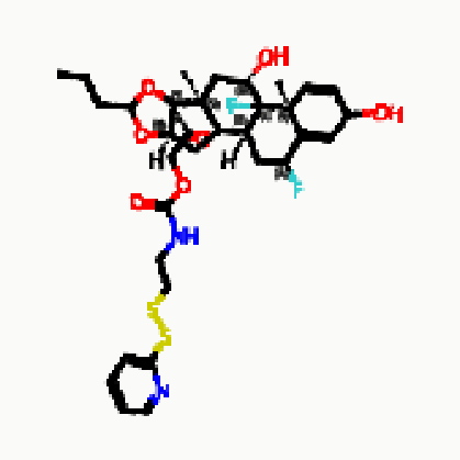 CCCC1O[C@@H]2CC3[C@@H]4C[C@H](F)C5=CC(O)C=C[C@]5(C)[C@@]4(F)[C@@H](O)C[C@]3(C)[C@]2(C(=O)COC(=O)NCCSSc2ccccn2)O1